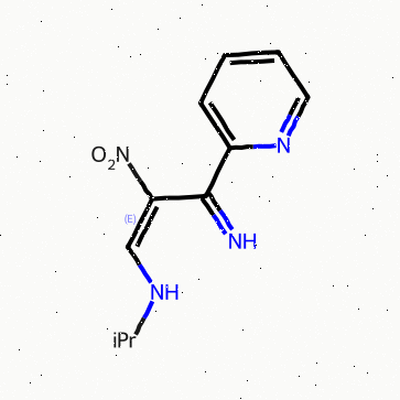 CC(C)N/C=C(\C(=N)c1ccccn1)[N+](=O)[O-]